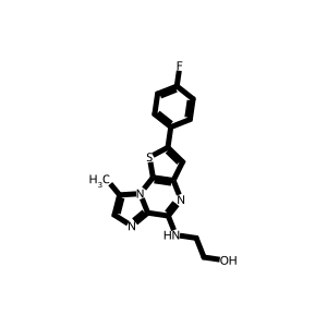 Cc1cnc2c(NCCO)nc3cc(-c4ccc(F)cc4)sc3n12